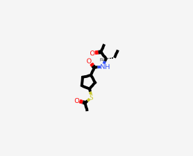 CC[C@H](NC(=O)C1CCC(SC(C)=O)C1)C(C)=O